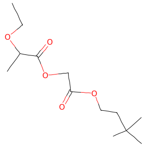 CCOC(C)C(=O)OCC(=O)OCCC(C)(C)C